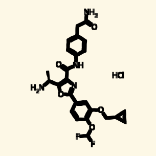 C[C@H](N)c1oc(-c2ccc(OC(F)F)c(OCC3CC3)c2)nc1C(=O)Nc1ccc(CC(N)=O)cc1.Cl